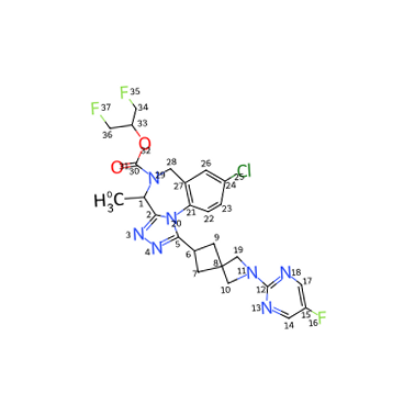 CC1c2nnc(C3CC4(C3)CN(c3ncc(F)cn3)C4)n2-c2ccc(Cl)cc2CN1C(=O)OC(CF)CF